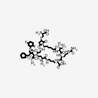 CC(C)[C@H](NC(=O)CCCCCN1C(=O)CC(SC[C@H](N)C(=O)O)C1=O)C(=O)N[C@@H](CCCNC(N)=O)C(=O)N[C@@H](CCCCNC(=O)[C@@H](N)CCN(C(=O)CO)[C@@H](c1nn(-c2cc(F)ccc2F)cc1Cc1ccccc1)C(C)(C)C)C(=O)O